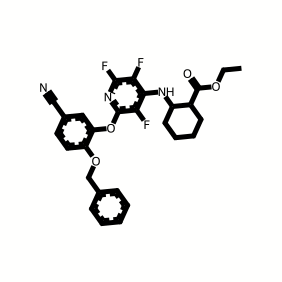 CCOC(=O)C1CCCCC1Nc1c(F)c(F)nc(Oc2cc(C#N)ccc2OCc2ccccc2)c1F